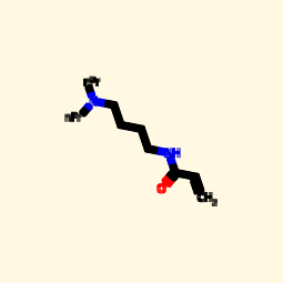 C=CC(=O)NCCCCN(CCC)CCC